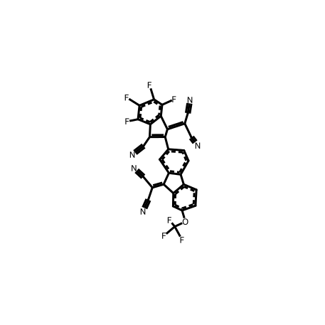 N#CC(C#N)=C1c2cc(OC(F)(F)F)ccc2-c2ccc(C3=C(C#N)c4c(F)c(F)c(F)c(F)c4C3=C(C#N)C#N)cc21